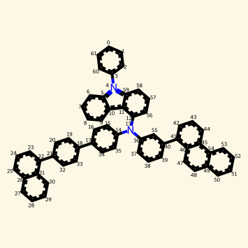 c1ccc(-n2c3ccccc3c3c(N(c4ccc(-c5ccc(-c6cccc7ccccc67)cc5)cc4)c4cccc(-c5cccc6c5ccc5ccccc56)c4)cccc32)cc1